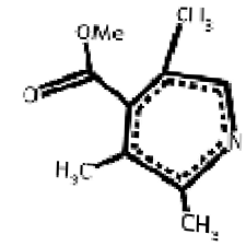 COC(=O)c1c(C)cnc(C)c1C